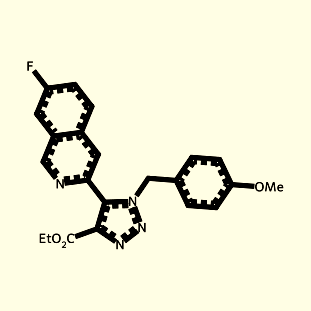 CCOC(=O)c1nnn(Cc2ccc(OC)cc2)c1-c1cc2ccc(F)cc2cn1